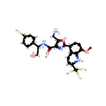 COc1ccc(-c2nc(C(=O)NC(CO)c3ccc(F)cc3)c(CN)o2)c2ccc(C(F)(F)F)nc12